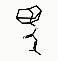 CC(C)=CC(=O)OC12CC3CC(CC(C3)C1)C2